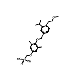 COCOc1ccc(COc2c(C)cc(OCP(=O)(O)O)cc2C)cc1C(C)C